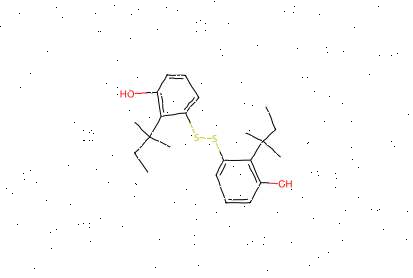 CCC(C)(C)c1c(O)cccc1SSc1cccc(O)c1C(C)(C)CC